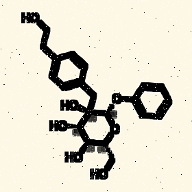 OCCc1ccc(C[C@]2(O)[C@H](Oc3ccccc3)O[C@H](CO)[C@@H](O)[C@@H]2O)cc1